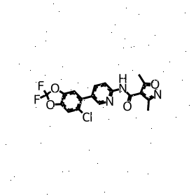 Cc1noc(C)c1C(=O)Nc1ccc(-c2cc3c(cc2Cl)OC(F)(F)O3)cn1